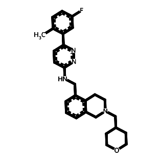 Cc1ccc(F)cc1-c1ccc(NCc2cccc3c2CCN(CC2CCOCC2)C3)nn1